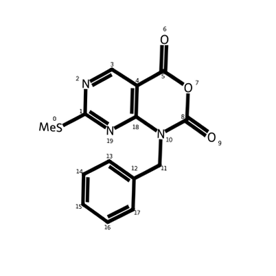 CSc1ncc2c(=O)oc(=O)n(Cc3ccccc3)c2n1